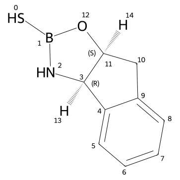 SB1N[C@@H]2c3ccccc3C[C@@H]2O1